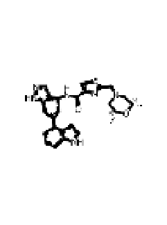 C[C@@H]1CN(Cc2nc(C(=O)Nc3cc(-c4cccc5[nH]ccc45)cc4[nH]ncc34)cs2)C[C@H](C)O1